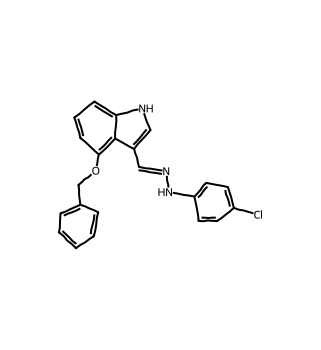 Clc1ccc(N/N=C/c2c[nH]c3cccc(OCc4ccccc4)c23)cc1